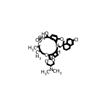 C[C@@H]1CC[C@@H]([C@H]2OC[C@@H](N(C)C)CO2)[C@@H]2CC[C@H]2CN2C[C@@]3(CCCc4cc(Cl)ccc43)COc3ccc(cc32)C(=O)NS(=O)(=O)C[C@@H]1C